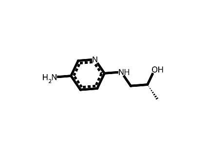 C[C@@H](O)CNc1ccc(N)cn1